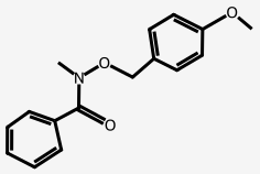 COc1ccc(CON(C)C(=O)c2ccccc2)cc1